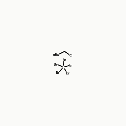 BrP(Br)(Br)(Br)Br.CCCCCCl